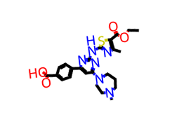 CCOC(=O)c1sc(Nc2nc(-c3ccc(C(=O)O)cc3)cc(N3CCCN(C)CC3)n2)nc1C